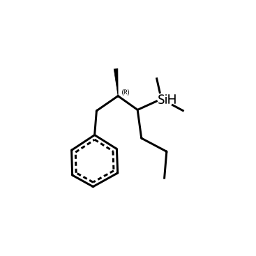 CCCC([C@H](C)Cc1ccccc1)[SiH](C)C